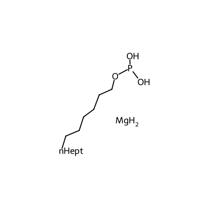 CCCCCCCCCCCCCOP(O)O.[MgH2]